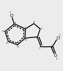 O=C(Cl)C=C1CCc2c(Cl)cccc21